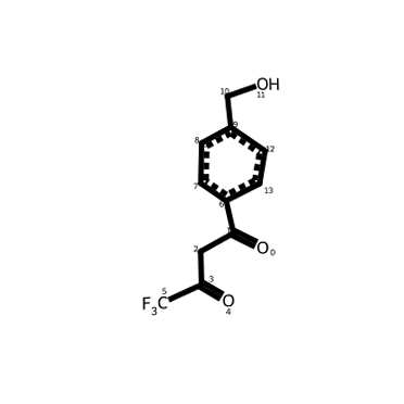 O=C(CC(=O)C(F)(F)F)c1ccc(CO)cc1